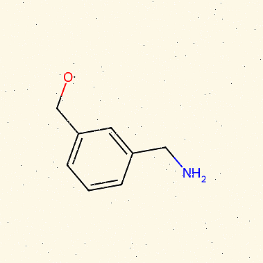 NCc1cccc(C[O])c1